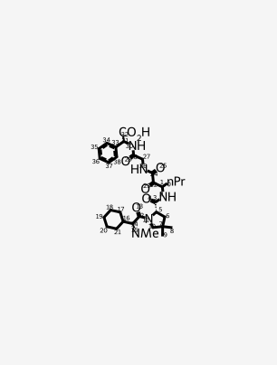 CCCC(NC(=O)[C@@H]1CC(C)(C)CN1C(=O)[C@@H](NC)C1CCCCC1)C(=O)C(=O)NCC(=O)N[C@H](C(=O)O)c1ccccc1